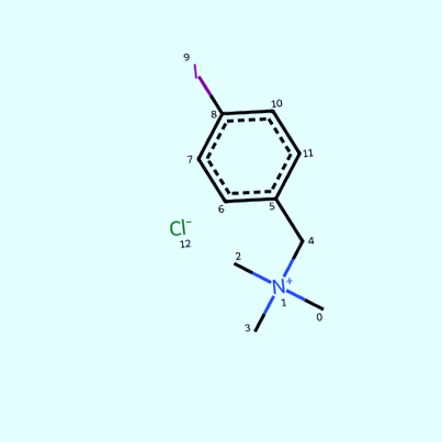 C[N+](C)(C)Cc1ccc(I)cc1.[Cl-]